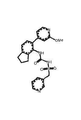 COc1cc(-c2ccc3c(c2NC(=O)NS(=O)(=O)Cc2cccnc2)CCC3)ccn1